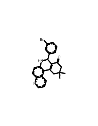 CC1(C)CC(=O)C2=C(C1)c1c(ccc3ncccc13)NC2c1cccc(Br)c1